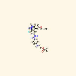 C=C(C)C(=O)OCCN(C)c1ccc(NNc2ccc(NN(C)c3ccc(OCCCCCCCC)cc3)c(F)c2)cc1